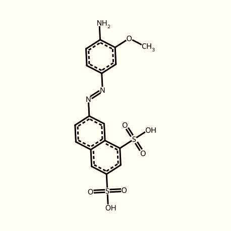 COc1cc(N=Nc2ccc3cc(S(=O)(=O)O)cc(S(=O)(=O)O)c3c2)ccc1N